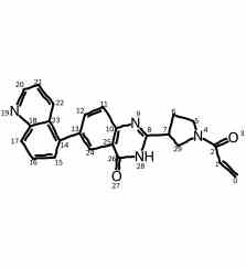 C=CC(=O)N1CCC(c2nc3ccc(-c4cccc5ncccc45)cc3c(=O)[nH]2)C1